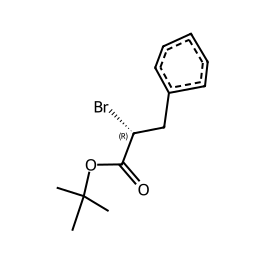 CC(C)(C)OC(=O)[C@H](Br)Cc1ccccc1